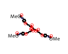 COC(=O)/C=C/c1ccc(OCCCCC(=O)OCC(COC(=O)CCCCOc2ccc(/C=C/C(=O)OC)cc2)OC(=O)CCCCOc2ccc(/C=C/C(=O)OC)cc2)cc1